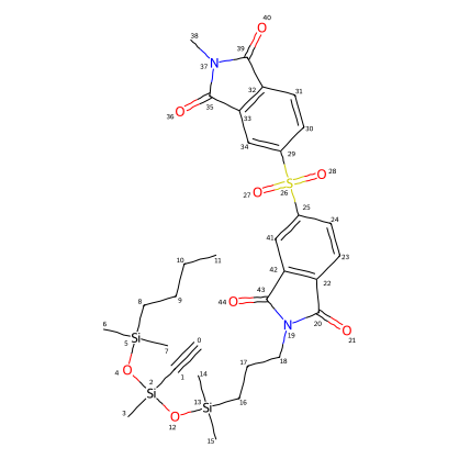 C#C[Si](C)(O[Si](C)(C)CCCC)O[Si](C)(C)CCCN1C(=O)c2ccc(S(=O)(=O)c3ccc4c(c3)C(=O)N(C)C4=O)cc2C1=O